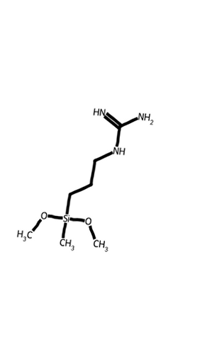 CO[Si](C)(CCCNC(=N)N)OC